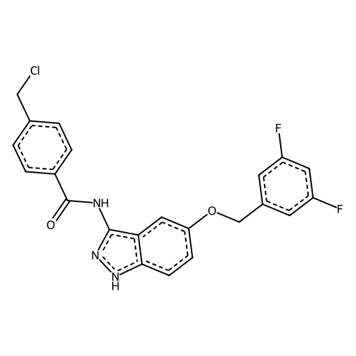 O=C(Nc1n[nH]c2ccc(OCc3cc(F)cc(F)c3)cc12)c1ccc(CCl)cc1